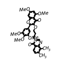 COc1cc(OC)c2c(=O)c(OCCCn3cnc4c(C)c(C)ccc4c3=O)c(-c3cc(OC)c(OC)c(OC)c3)oc2c1